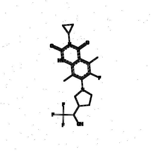 Cc1c(N2CCC(C(O)C(F)(F)F)C2)c(F)c(C)c2c(=O)n(C3CC3)c(=O)[nH]c12